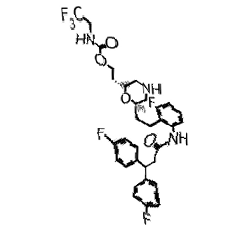 O=C(CC(c1ccc(F)cc1)c1ccc(F)cc1)Nc1cccc(F)c1CC[C@@H]1CNC[C@@H](CCOC(=O)NCC(F)(F)F)O1